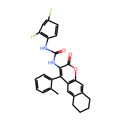 Cc1ccccc1-c1c(NC(=O)Nc2ccc(F)cc2F)c(=O)oc2cc3c(cc12)CCCC3